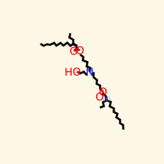 CCCCCCCCCCC(=CC(=O)OCCCCCCN(CCCO)CCCCCCOC(=O)/C=C(\CCC)CCCCCCCCCC)CCC